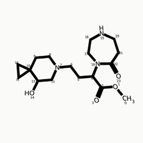 COC(=O)C(CCN1CCC2(CC2)C(O)C1)N1CCNCCC1=O